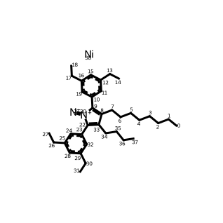 CCCCCCCCC1=C(c2cc(CC)cc(CC)c2)[N+](=[N-])C(c2cc(CC)cc(CC)c2)=C1CCCC.[Ni]